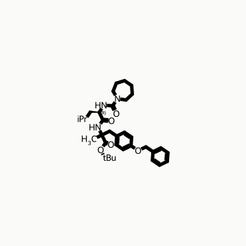 CC(C)C[C@@H](NC(=O)N1CCCCCC1)C(=O)NC(C)(Cc1ccc(OCc2ccccc2)cc1)C(=O)OC(C)(C)C